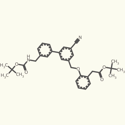 CC(C)(C)OC(=O)Cc1ccccc1OCc1cc(C#N)cc(-c2cccc(CNC(=O)OC(C)(C)C)c2)c1